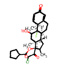 CC1C[C@H]2[C@@H]3CCC4=CC(=O)C=C[C@]4(C)[C@@]3(F)C(O)C[C@]2(C)[C@@]1(OC(=O)C1CCCC1)C(=O)CCl